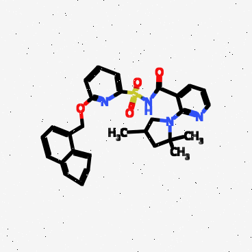 CC1CN(c2ncccc2C(=O)NS(=O)(=O)c2cccc(OCc3cccc4ccccc34)n2)C(C)(C)C1